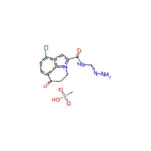 CS(=O)(=O)O.NN=CNC(=O)c1cc2c(Cl)ccc3c2n1CCC3=O